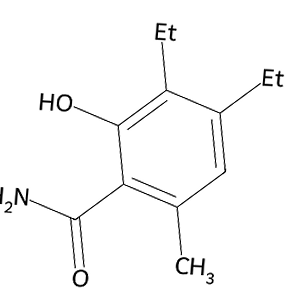 CCc1cc(C)c(C(N)=O)c(O)c1CC